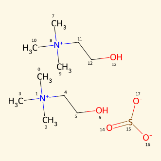 C[N+](C)(C)CCO.C[N+](C)(C)CCO.O=S([O-])[O-]